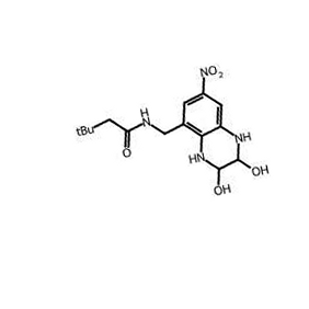 CC(C)(C)CC(=O)NCc1cc([N+](=O)[O-])cc2c1NC(O)C(O)N2